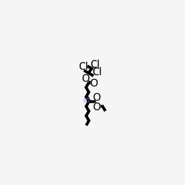 CCCCC/C(=C/CCC(=O)OC(C)(C)C(Cl)(Cl)Cl)C(=O)OCC